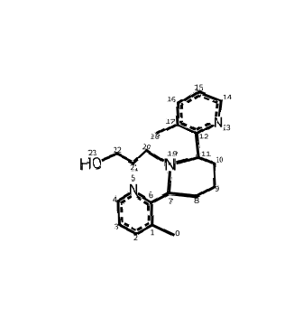 Cc1cccnc1C1CCCC(c2ncccc2C)N1CCCO